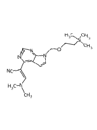 CN(C)C=C(C#N)c1ncnc2c1ccn2COCC[Si](C)(C)C